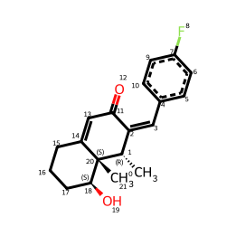 C[C@H]1C(=Cc2ccc(F)cc2)C(=O)C=C2CCC[C@H](O)[C@]21C